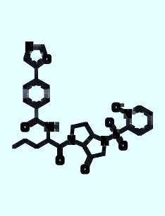 CCCC(NC(=O)c1ccc(-c2cnco2)cc1)C(=O)N1CCC2C1C(=O)CN2S(=O)(=O)c1cccc[n+]1[O-]